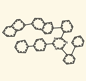 c1ccc(-c2ccc(-c3nc(-c4ccccc4-c4ccccc4)nc(-c4ccccc4-c4ccc5cc(-c6ccc7ccccc7c6)ccc5c4)n3)cc2)cc1